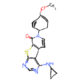 COC1=CCC(n2ccc3c(sc4ncnc(NC5CC5)c43)c2=O)C=C1